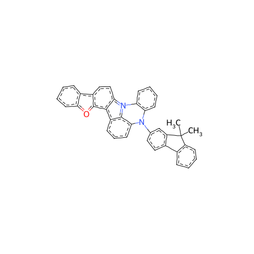 CC1(C)c2ccccc2-c2ccc(N3c4ccccc4-n4c5ccc6c7ccccc7oc6c5c5cccc3c54)cc21